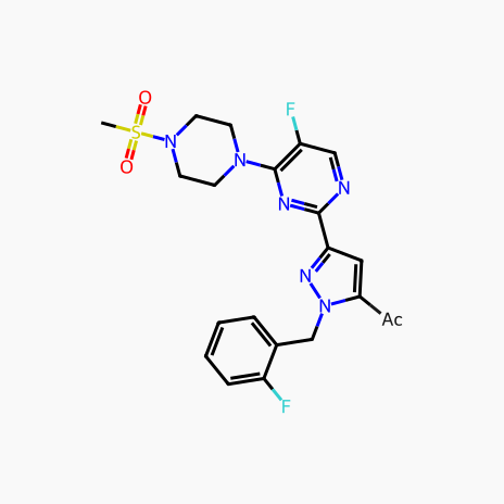 CC(=O)c1cc(-c2ncc(F)c(N3CCN(S(C)(=O)=O)CC3)n2)nn1Cc1ccccc1F